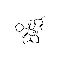 Cc1cc(C)c(C(=O)P(=O)(C(=O)c2c(Cl)cccc2Cl)C2CCCCC2)c(C)c1